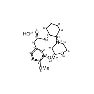 COc1ccc(CC(=O)S[C@@H]2CCCC[C@H]2N2CCOCC2)cc1OC.Cl